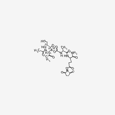 CC(=O)N[C@@H](C(C)=O)[C@@H](OC(=O)NC(C)C(=O)NC(CCC(=O)ON1C(=O)CCC1=O)C(N)=O)[C@H](O)[C@H](O)CO